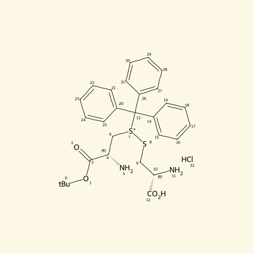 CC(C)(C)OC(=O)[C@@H](N)C[S+](SC[C@H](N)C(=O)O)C(c1ccccc1)(c1ccccc1)c1ccccc1.Cl